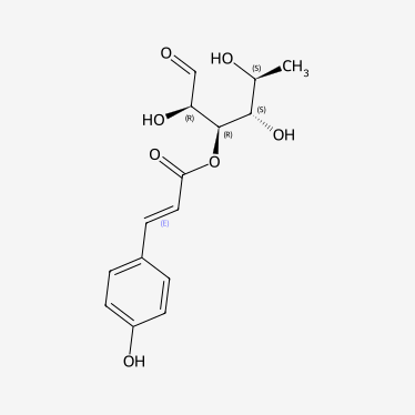 C[C@H](O)[C@H](O)[C@@H](OC(=O)/C=C/c1ccc(O)cc1)[C@@H](O)C=O